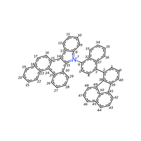 c1cc(-c2ccc(-n3c4ccccc4c4c5ccc6ccccc6c5c5ccccc5c43)c3ccccc23)c2c(c1)-c1cccc3cccc-2c13